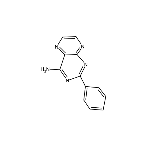 Nc1nc(-c2ccccc2)nc2nccnc12